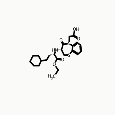 CCOC(=O)[C@H](CCC1CCCCC1)N[C@H]1CSc2ccccc2N(CC(=O)O)C1=O